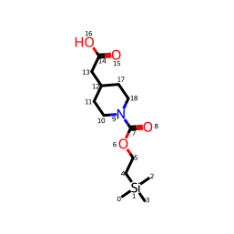 C[Si](C)(C)CCOC(=O)N1CCC(CC(=O)O)CC1